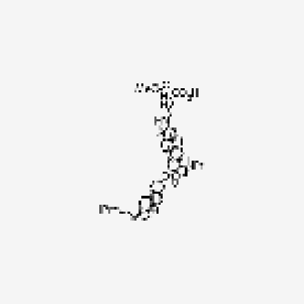 COC(=O)NC(CCCNC1CC[C@@]2(C)C(CC[C@]3(C)[C@@H]2CC[C@@H]2C4[C@H](C(C)C)CC[C@]4(C(=O)O[C@H]4CC[C@@]5(C)C(=CC[C@H]6[C@@H]7CC[C@H]([C@H](C)CCCC(C)C)[C@@]7(C)CC[C@@H]65)C4)CC[C@]23C)C1(C)C)C(=O)O